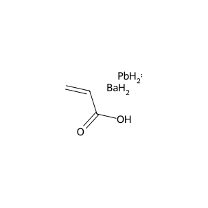 C=CC(=O)O.[BaH2].[PbH2]